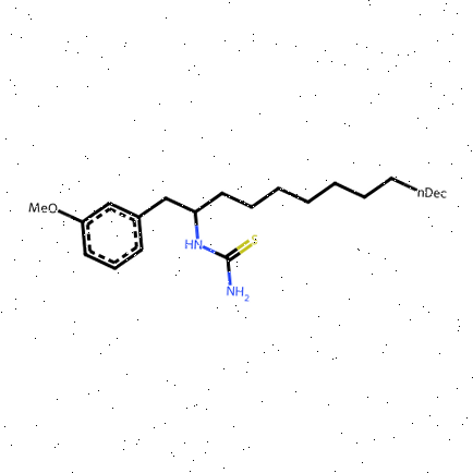 CCCCCCCCCCCCCCCCCC(Cc1cccc(OC)c1)NC(N)=S